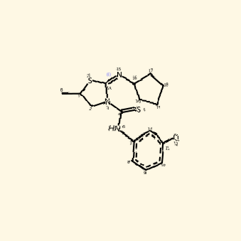 CC1CN(C(=S)Nc2cccc(Cl)c2)/C(=N\C2CCCC2)S1